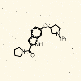 CC(C)N1CCC(Oc2ccc3cc(C(=O)N4CCCC4)[nH]c3c2)C1